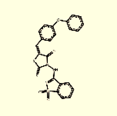 O=C1/C(=C\c2ccc(Oc3ccccc3)cc2)SC(=S)N1NC1=NS(=O)(=O)c2ccccc21